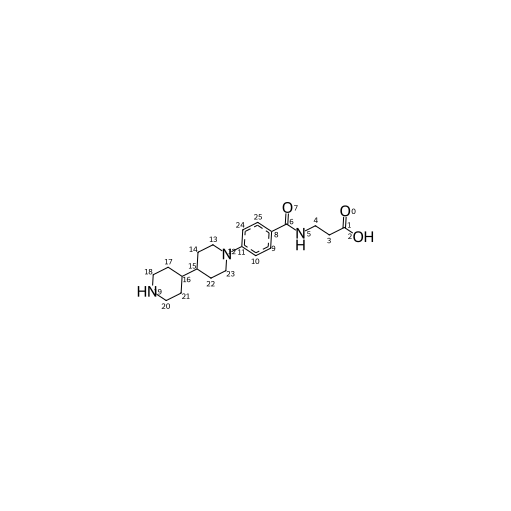 O=C(O)CCNC(=O)c1ccc(N2CCC(C3CCNCC3)CC2)cc1